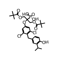 CC(C)c1cc(Cc2c(Cl)cc(OC(COC(=O)C(C)(C)C)(COC(=O)C(C)(C)C)P(=O)(O)O)cc2Cl)ccc1O